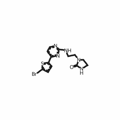 O=C1NCCN1CCNc1nccc(-c2ccc(Br)s2)n1